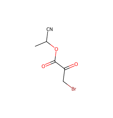 CC(C#N)OC(=O)C(=O)CBr